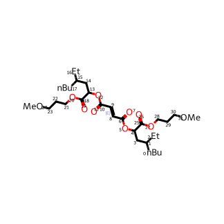 CCCCC(CC)CC(OC(=O)/C=C/C(=O)OC(CC(CC)CCCC)C(=O)OCCCOC)C(=O)OCCCOC